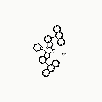 CC(C)C1=Cc2c(-c3c4ccccc4cc4ccccc34)cccc2[CH]1[Ti+2]1([CH]2C(C(C)C)=Cc3c(-c4c5ccccc5cc5ccccc45)cccc32)[CH]2CCCC[CH]21.[Cl-].[Cl-]